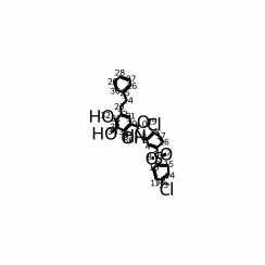 O=C(Nc1cc(S(=O)(=O)c2ccc(Cl)cc2)ccc1Cl)c1cc(CCc2ccccc2)c(O)c(O)c1O